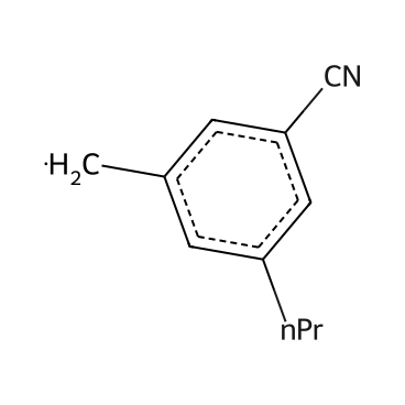 [CH2]c1cc(C#N)cc(CCC)c1